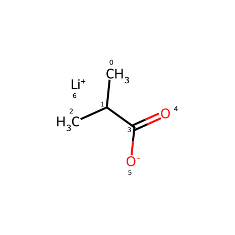 CC(C)C(=O)[O-].[Li+]